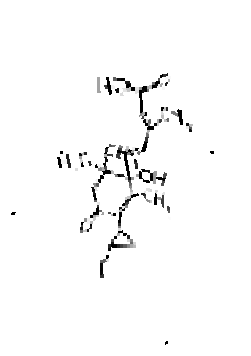 CC(C=CC1(O)C(C)=C(C2CC2F)C(=O)CC1(C)C)=CC(=O)O